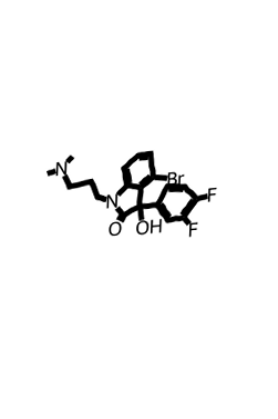 CN(C)CCCN1C(=O)C(O)(c2ccc(F)c(F)c2)c2c(Br)cccc21